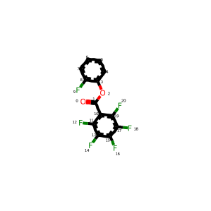 O=C(Oc1ccccc1F)c1c(F)c(F)c(F)c(F)c1F